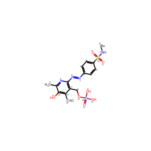 Cc1nc(N=Nc2ccc(S(=O)(=O)NC(C)(C)C)cc2)c(COP(=O)(O)O)c(C=O)c1O